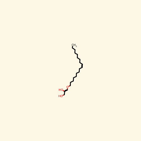 CCCCCCCC/C=C\CCCCCCCCOC=C(O)CO